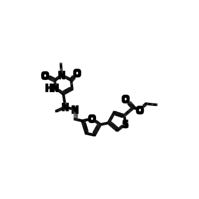 CCOC(=O)c1cc(-c2ccc(/C=N/N(C)c3cc(=O)n(C)c(=O)[nH]3)o2)cs1